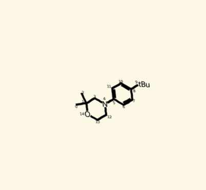 CC1(C)CN(c2ccc(C(C)(C)C)cc2)CCO1